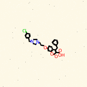 O=C(O)c1c(Cc2ccccc2)c2ccc(OCCCN3CCN(Cc4ccc(Cl)cc4)CC3)cc2oc1=O